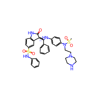 CS(=O)(=O)N(CCN1CCNCC1)c1ccc(N/C(=C2\C(=O)Nc3ccc(S(=O)(=O)Nc4ccccc4)cc32)c2ccccc2)cc1